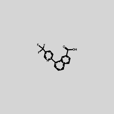 O=C(O)c1ccc2cccc(-c3ccc(C(F)(F)F)cn3)c2c1